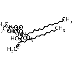 C=C=C=C(CCCCCCCCCCCCCC)[C@@H](O)C(C)(COP(=O)(O)OCC[N+](C)(C)C)NC(=O)CCCCCCCCCCCCCCC